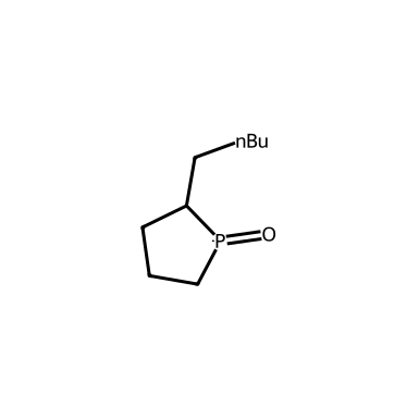 CCCCCC1CCC[P]1=O